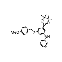 COc1ccc(COc2cc(Nc3cccnc3)cc(B3OC(C)(C)C(C)(C)O3)c2)cc1